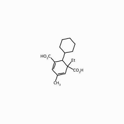 CCC1(C(=O)O)C=C(C)C=C(C(=O)O)C1C1CCCCC1